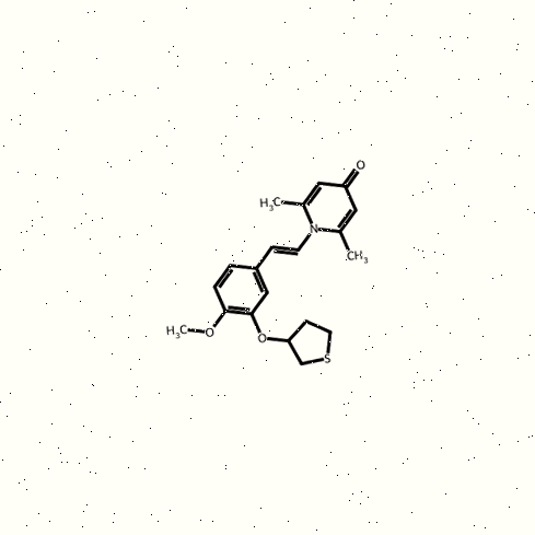 COc1ccc(C=Cn2c(C)cc(=O)cc2C)cc1OC1CCSC1